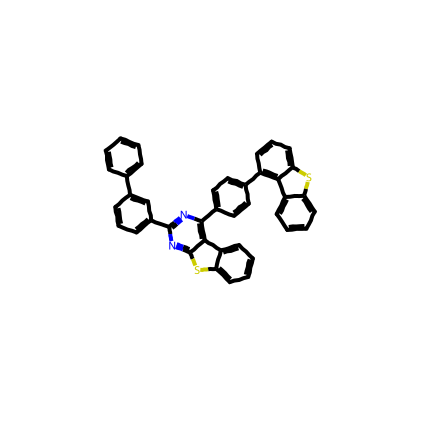 c1ccc(-c2cccc(-c3nc(-c4ccc(-c5cccc6sc7ccccc7c56)cc4)c4c(n3)sc3ccccc34)c2)cc1